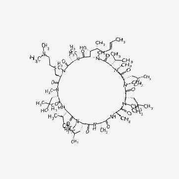 C/C=C/C[C@@H](C)[C@@H](O)[C@H]1C(=O)N(C)[C@@H](CC)C(=O)N(C)[C@H](CSCCN(C)C)C(=O)N(C)[C@@H](CC(C)(C)O)C(=O)N[C@@H](C(C)C)C(=O)N(C)[C@@H](CC(C)C)C(=O)N[C@@H](C)C(=O)N[C@H](C)C(=O)N(C)[C@@H](CC(C)C)C(=O)N(C)[C@@H](CC(C)C)C(=O)N(C)[C@@H](C(C)C)C(=O)N1C